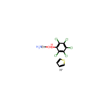 CCO.N.Oc1c(Cl)c(Cl)c(Cl)c(Cl)c1Cl.[H+].c1ccsc1